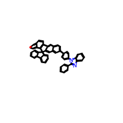 c1ccc(-c2nc3ccccc3n2-c2ccc(-c3ccc4cc5c(cc4c3)C3(c4ccccc4-c4ccccc43)c3c-5ccc4ccccc34)cc2)cc1